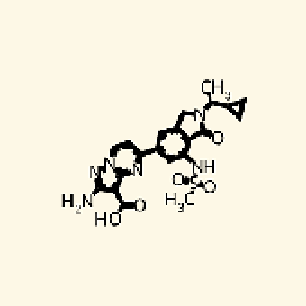 C[C@@H](C1CC1)N1Cc2cc(-c3ccn4nc(N)c(C(=O)O)c4n3)cc(NS(C)(=O)=O)c2C1=O